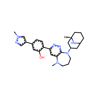 CN1CCCN([C@@H]2CC3CCC[C@@H](C2)N3)c2nnc(-c3ccc(-c4cnn(C)c4)cc3O)cc21